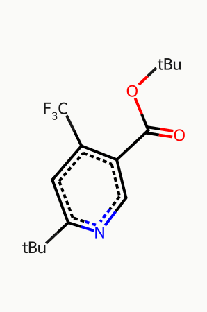 CC(C)(C)OC(=O)c1cnc(C(C)(C)C)cc1C(F)(F)F